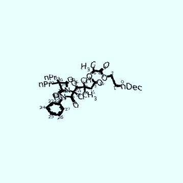 CCCCCCCCCCCCOC(=O)C(C)OC(=O)CC(C)(C)C(=O)C(Cl)(C(=O)Nc1ccccc1)N1C(=O)C(CCC)(CCC)C1=O